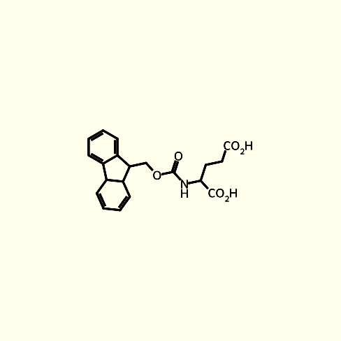 O=C(O)CCC(NC(=O)OCC1c2ccccc2C2C=CC=CC21)C(=O)O